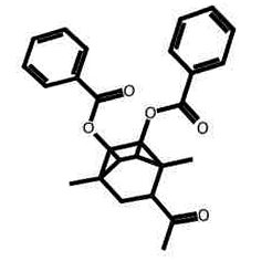 CC(=O)C1CC2(C)CCC1(C)C(OC(=O)c1ccccc1)C2OC(=O)c1ccccc1